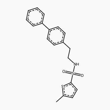 Cc1ccc(S(=O)(=O)NCCc2ccc(-c3ccccc3)cc2)s1